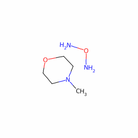 CN1CCOCC1.NON